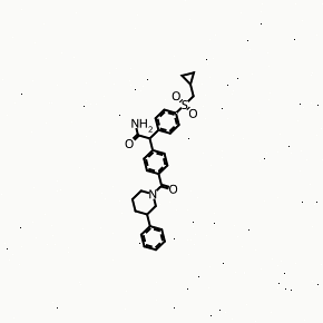 NC(=O)C(c1ccc(C(=O)N2CCCC(c3ccccc3)C2)cc1)c1ccc(S(=O)(=O)CC2CC2)cc1